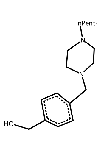 CCCC[CH]N1CCN(Cc2ccc(CO)cc2)CC1